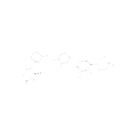 CC1(N)CCN(c2cnc(Sc3cccc(NCc4cccc(N5CCC(=O)NC5=O)c4)c3Cl)c(N)n2)CC1